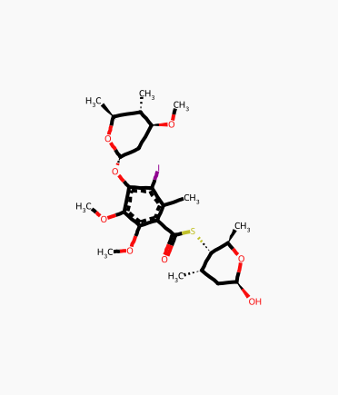 COc1c(O[C@H]2C[C@H](OC)[C@@H](C)[C@H](C)O2)c(I)c(C)c(C(=O)S[C@H]2[C@@H](C)C[C@H](O)O[C@@H]2C)c1OC